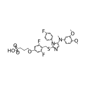 COc1ccc(N(C)c2cnc(SCc3c(F)cc(OCCCS(=O)(=O)O)cc3F)n2-c2ccc(F)cc2)cc1OC